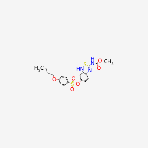 CCCCOc1ccc(S(=O)(=O)Oc2ccc3c(c2)NSC(NC(=O)OC)=N3)cc1